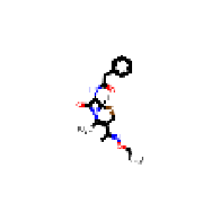 CC(=NOCC(=O)O)C1=C(C(=O)O)N2C(=O)[C@@H](NC(=O)Cc3ccccc3)[C@@H]2SC1